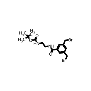 CC(C)(C)OC(=O)NCCNC(=O)c1cc(CBr)cc(CBr)c1